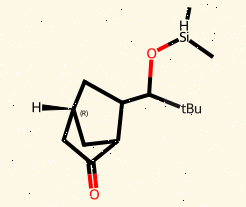 C[SiH](C)OC(C1C[C@H]2CC(=O)C1C2)C(C)(C)C